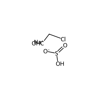 O=CCCl.O=S([O-])O.[Na+]